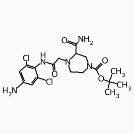 CC(C)(C)OC(=O)N1CCN(CC(=O)Nc2c(Cl)cc(N)cc2Cl)C(C(N)=O)C1